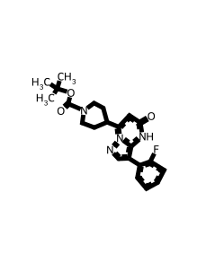 CC(C)(C)OC(=O)N1CCC(c2cc(=O)[nH]c3c(-c4ccccc4F)cnn23)CC1